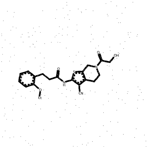 CCOc1ccccc1CCC(=O)Nc1sc2c(c1C#N)CCN(C(=O)CO)C2